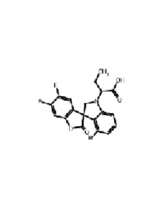 CCC(C(=O)O)N1CC2(C(=O)Oc3cc(F)c(F)cc32)c2c(Br)cccc21